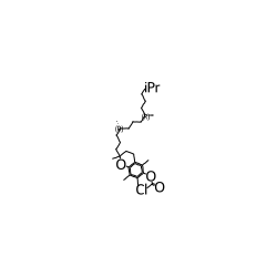 Cc1c(C)c2c(c(C)c1OC(=O)Cl)CCC(C)(CCC[C@H](C)CCC[C@H](C)CCCC(C)C)O2